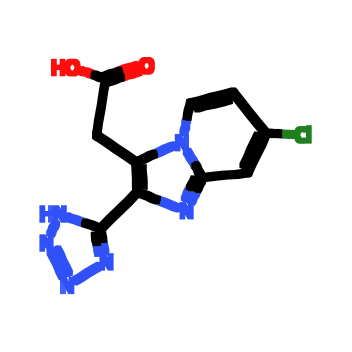 O=C(O)Cc1c(-c2nnn[nH]2)nc2cc(Cl)ccn12